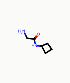 NCC(=O)NC1CCC1